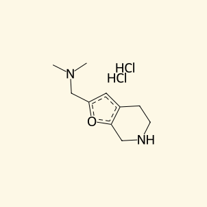 CN(C)Cc1cc2c(o1)CNCC2.Cl.Cl